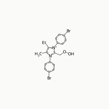 CCc1c(C)n(-c2ccc(Br)cc2)c(COO)[n+]1-c1ccc(Br)cc1